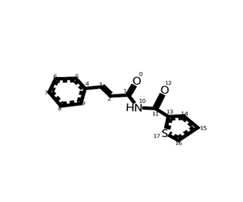 O=C(C=Cc1ccccc1)NC(=O)c1cccs1